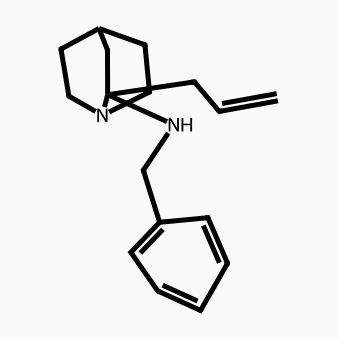 C=CCC1(NCc2ccccc2)CC2CCN1CC2